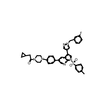 Cc1ccc(S(=O)(=O)n2cc(-c3cnn(Cc4cccc(F)c4)c3)c3cc(-c4ccc(N5CCN(C(=O)CC6CC6)CC5)cc4)cnc32)cc1